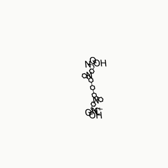 [C-]#[N+]/C(=C\c1ccc(-n2c3ccccc3c3cc(-c4ccc(-c5ccc6c(c5)c5ccccc5n6-c5ccc(/C=C(\C#N)C(=O)O)cc5)cc4)ccc32)cc1)C(=O)O